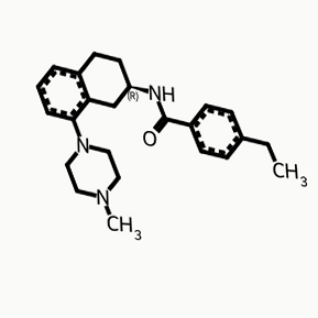 CCc1ccc(C(=O)N[C@@H]2CCc3cccc(N4CCN(C)CC4)c3C2)cc1